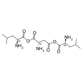 CC(C)C[C@H](N)C(=O)OC(=O)C[C@H](N)C(=O)OC(=O)[C@@H](N)CC(C)C